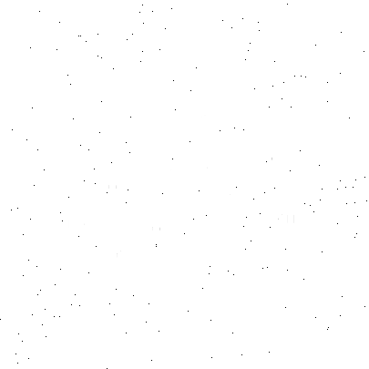 CCC1(C(=O)OC(C)C)COC(C)(C)OC1